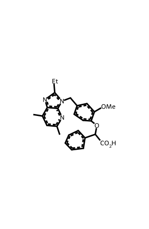 CCc1nc2c(C)cc(C)nc2n1Cc1ccc(OC(C(=O)O)c2ccccc2)c(OC)c1